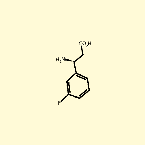 N[C@@H](CC(=O)O)c1cccc(F)c1